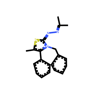 CC(C)=NN=c1sc(C)c(-c2ccccc2)n1Cc1ccccc1